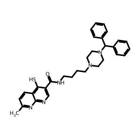 Cc1ccc2c(S)c(C(=O)NCCCCN3CCN(C(c4ccccc4)c4ccccc4)CC3)cnc2n1